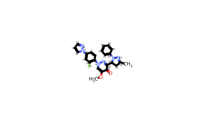 COc1cn(-c2ccc(-n3cccn3)cc2F)nc(C2CC(C)=NN2c2ccccc2)c1=O